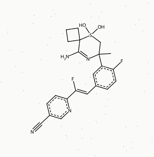 CC1(c2cc(C=C(F)c3ccc(C#N)cn3)ccc2F)CS(O)(O)C2(CCC2)C(N)=N1